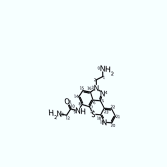 NCCn1nc2c3c(c(NC(=O)CN)ccc31)Sc1ncccc1-2